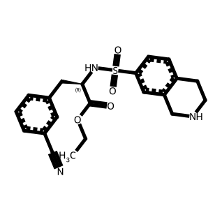 CCOC(=O)[C@@H](Cc1cccc(C#N)c1)NS(=O)(=O)c1ccc2c(c1)CNCC2